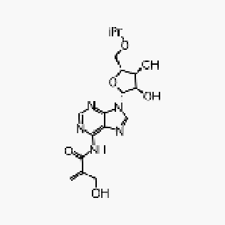 C=C(CO)C(=O)Nc1ncnc2c1ncn2[C@@H]1O[C@@H](COC(C)C)[C@@H](O)[C@H]1O